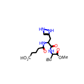 CCC(C)C(NC(=O)C(Cc1c[nH][nH]1)NC(=O)CCCC(=O)O)C(=O)OC